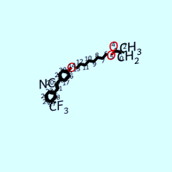 C=C(C)C(=O)OCCCCCCCCOc1ccc(/C(C#N)=C/c2cccc(C(F)(F)F)c2)cc1